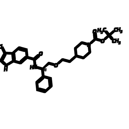 CC(C)(C)OC(=O)N1CCC(CCOC[C@H](NC(=O)c2ccc3c(Cl)c[nH]c3c2)c2ccccc2)CC1